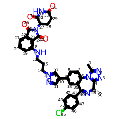 Cc1nnc2n1-c1ccc(-c3cnn(CCCNc4cccc5c4C(=O)N(C4CCC(=O)NC4=O)C5=O)c3)cc1C(c1ccc(Cl)cc1)=N[C@H]2C